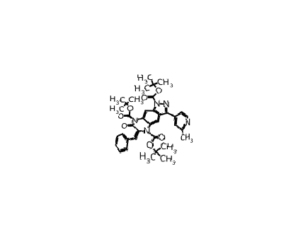 Cc1cc(-c2nn(C(=O)OC(C)(C)C)c3cc4c(cc23)N(C(=O)OC(C)(C)C)/C(=C/c2ccccc2)C(=O)N4C(=O)OC(C)(C)C)ccn1